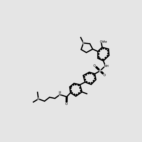 COc1ccc(NS(=O)(=O)c2ccc(-c3ccc(C(=O)NCCCN(C)C)cc3C)cc2)cc1C1CCN(C)C1